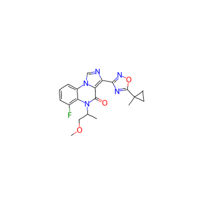 COCC(C)n1c(=O)c2c(-c3noc(C4(C)CC4)n3)ncn2c2cccc(F)c21